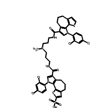 CN(CCCNC(=O)c1cn(-c2ccc(Cl)cc2Cl)c2c1CCCc1ccsc1-2)CCCNC(=O)c1cn(-c2ccc(Cl)cc2Cl)c2c1CCCc1cc(S(=O)(=O)O)sc1-2